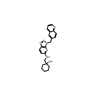 OC1(CNc2ccc3nnn(Cc4ccc5ncccc5c4)c3n2)CCCCC1